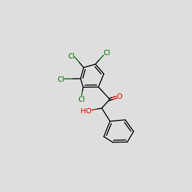 O=C(c1cc(Cl)c(Cl)c(Cl)c1Cl)C(O)c1ccccc1